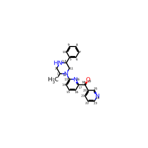 CC1CNC(c2ccccc2)CN1c1cccc(C(=O)c2cccnc2)n1